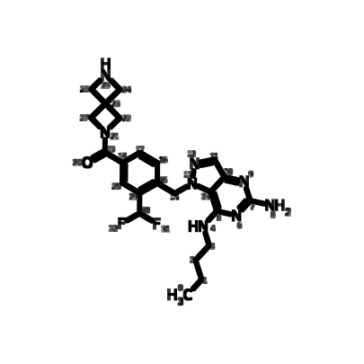 CCCCNc1nc(N)nc2cnn(Cc3ccc(C(=O)N4CC5(CNC5)C4)cc3C(F)F)c12